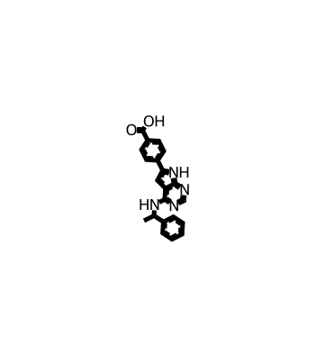 CC(Nc1ncnc2[nH]c(-c3ccc(C(=O)O)cc3)cc12)c1ccccc1